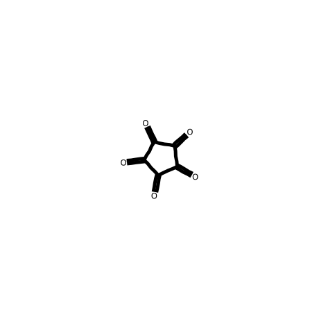 O=C1C(=O)C(=O)C(=O)C1=O